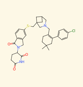 CC1(C)CCC(CN2CC3CC(CSc4ccc5c(c4)CN(C4CCC(=O)NC4=O)C5=O)(C3)C2)=C(c2ccc(Cl)cc2)C1